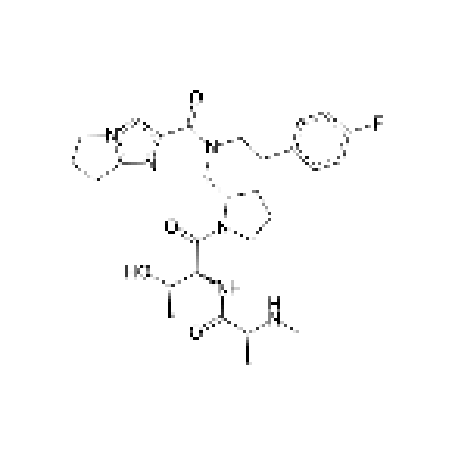 CN[C@@H](C)C(=O)N[C@H](C(=O)N1CCC[C@H]1CN(CCc1ccc(F)cc1)C(=O)c1cn2c(n1)CCC2)[C@@H](C)O